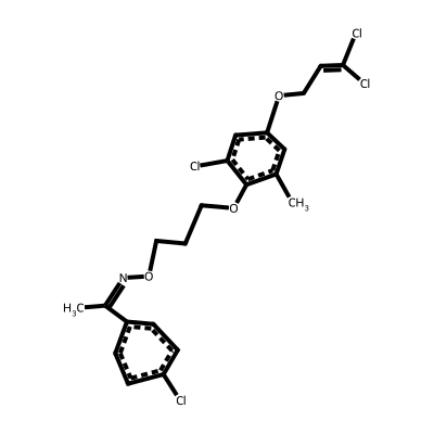 CC(=NOCCCOc1c(C)cc(OCC=C(Cl)Cl)cc1Cl)c1ccc(Cl)cc1